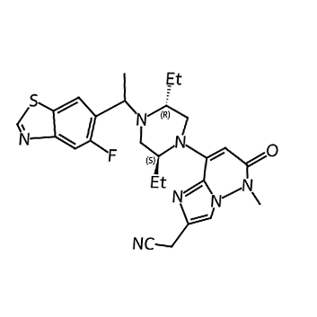 CC[C@H]1CN(C(C)c2cc3scnc3cc2F)[C@H](CC)CN1c1cc(=O)n(C)n2cc(CC#N)nc12